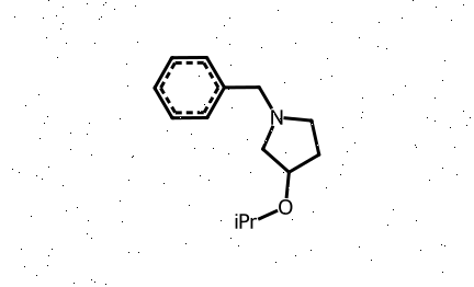 CC(C)OC1CCN(Cc2ccccc2)C1